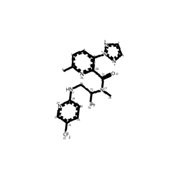 Cc1ccc(-n2nccn2)c(C(=O)N(C)C(CNc2ccc(C(F)(F)F)cn2)C(C)C)n1